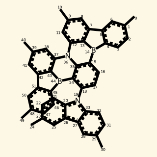 Cc1ccc2c(c1)-c1cc(C)cc3c1B2c1ccc(-n2c4ccc(C)cc4c4cc(C)ccc42)c2c1N3c1cc(C)cc3c1B2c1ccc(C)cc1-3